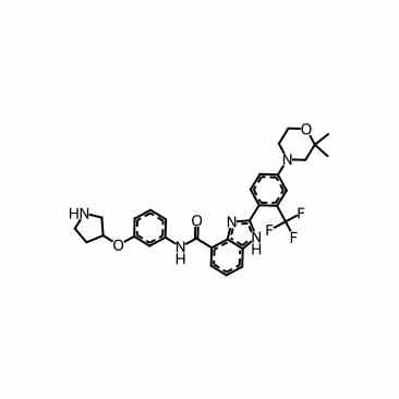 CC1(C)CN(c2ccc(-c3nc4c(C(=O)Nc5cccc(OC6CCNC6)c5)cccc4[nH]3)c(C(F)(F)F)c2)CCO1